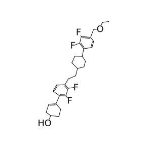 CCOCc1ccc(C2CCC(CCc3ccc(C4=CCC(O)CC4)c(F)c3F)CC2)c(F)c1F